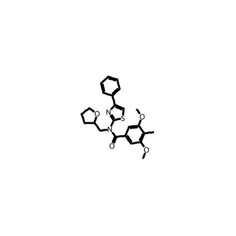 COc1cc(C(=O)N(CC2CCCO2)c2nc(-c3ccccc3)cs2)cc(OC)c1C